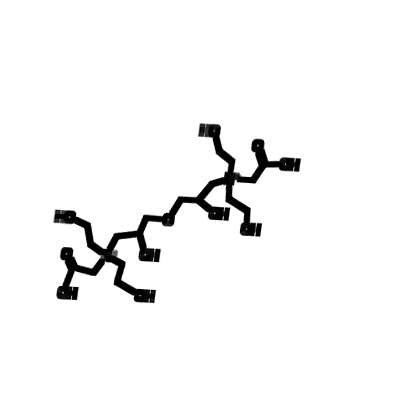 O=C(O)C[N+](CCO)(CCO)CC(O)COCC(O)C[N+](CCO)(CCO)CC(=O)O